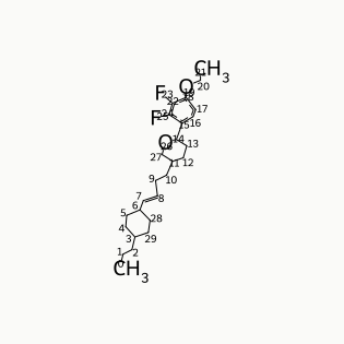 CCCC1CCC(/C=C/CCC2CCC(c3ccc(OCC)c(F)c3F)OC2)CC1